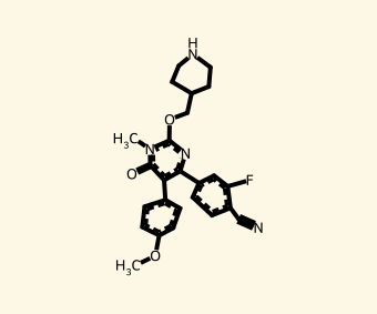 COc1ccc(-c2c(-c3ccc(C#N)c(F)c3)nc(OCC3CCNCC3)n(C)c2=O)cc1